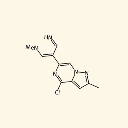 CN/C=C(\C=N)c1cn2nc(C)cc2c(Cl)n1